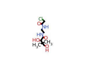 CC(C)(CO)[C@@H](O)C(=O)NCCNC(=O)CCl